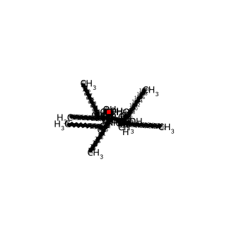 CCCCCCCCCCCCCCCC(=O)O[C@H](CCCCCCCCCCCCC)CC(=O)NC1C(OC(=O)C[C@@H](CCCCCCCCCCCCC)OC(=O)CCCCCCCCCCCCCCC)[C@H](OP(=O)(O)O)C(CO)O[C@H]1OCC1O[C@@H](C)C(NC(=O)C[C@H](O)CCCCCCCCCCCCC)C(OC(=O)C[C@H](O)CCCCCCCCCCCCC)[C@@H]1O